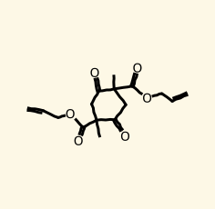 C=CCOC(=O)C1(C)CC(=O)C(C)(C(=O)OCC=C)CC1=O